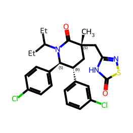 CCC(CC)N1C(=O)[C@](C)(Cc2nsc(=O)[nH]2)C[C@H](c2cccc(Cl)c2)[C@H]1c1ccc(Cl)cc1